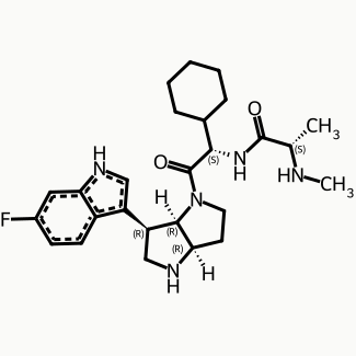 CN[C@@H](C)C(=O)N[C@H](C(=O)N1CC[C@H]2NC[C@@H](c3c[nH]c4cc(F)ccc34)[C@H]21)C1CCCCC1